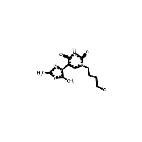 Cc1nc(C)c(-c2cn(CCCCCl)c(=O)[nH]c2=O)s1